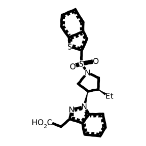 CC[C@@H]1CN(S(=O)(=O)c2cc3ccccc3s2)C[C@@H]1n1nc(CC(=O)O)c2ccccc21